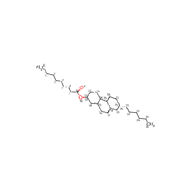 CCCCCCCCC(=O)O[C@H]1CCC2C(CCC3C[C@@H](CCCCCC)CCC32)C1